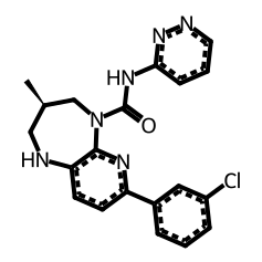 C[C@@H]1CNc2ccc(-c3cccc(Cl)c3)nc2N(C(=O)Nc2cccnn2)C1